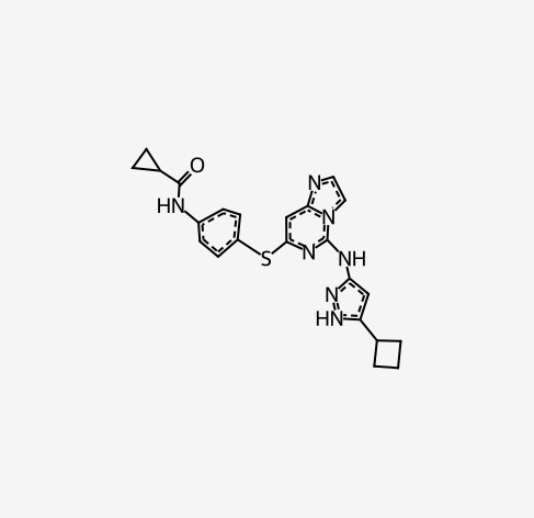 O=C(Nc1ccc(Sc2cc3nccn3c(Nc3cc(C4CCC4)[nH]n3)n2)cc1)C1CC1